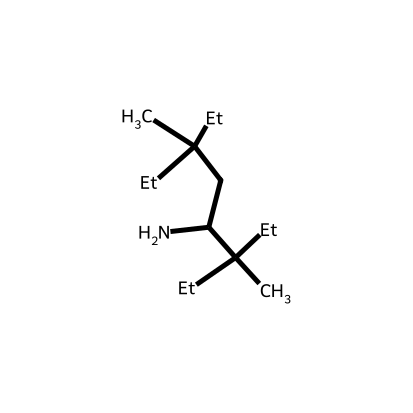 CCC(C)(CC)CC(N)C(C)(CC)CC